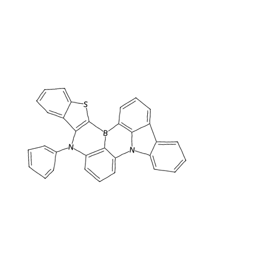 c1ccc(N2c3cccc4c3B(c3sc5ccccc5c32)c2cccc3c5ccccc5n-4c23)cc1